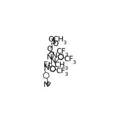 CCN(CC1CCC(C2=NC=C2)CC1)c1ccc(C(F)(F)F)cc1CN(c1ncc(OCCS(C)(=O)=O)cn1)C(C)c1cc(C(F)(F)F)cc(C(F)(F)F)c1